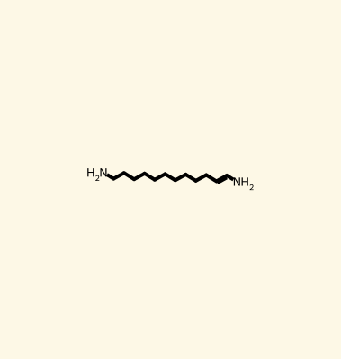 NC=CCCCCCCCCCCN